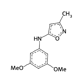 COc1cc(Nc2cc(C)no2)cc(OC)c1